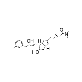 Cc1cccc(C[C@H](O)/C=C/[C@@H]2[C@H]3CC(CCSCC(=O)N(C)C)=C[C@H]3C[C@H]2O)c1